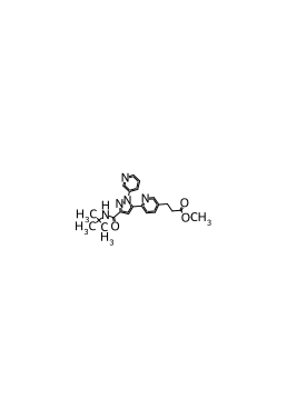 COC(=O)CCc1ccc(-c2cc(C(=O)NC(C)(C)C)nn2-c2cccnc2)nc1